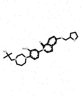 COc1cc(-n2ccc3cc(OCC4CCCO4)ccc3c2=O)ccc1N1CCCN(CC(C)(C)O)CC1